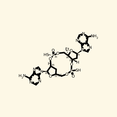 CC[C@@]12CO[P@@](=O)(S)O[C@@H]3C[C@@H](COP(=O)(S)O[C@H]1C[C@H](n1cnc4c(N)ncnc41)O2)O[C@H]3n1cnc2c(N)ncnc21